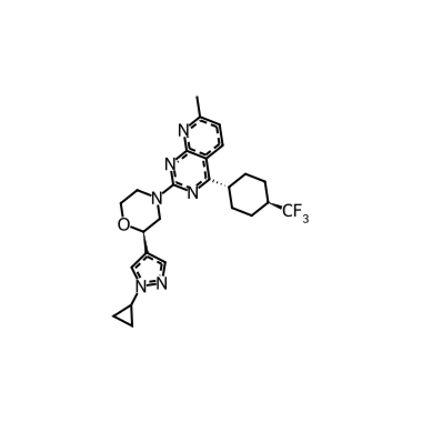 Cc1ccc2c(n1)nc(N1CCO[C@H](c3cnn(C4CC4)c3)C1)nc2[C@H]1CC[C@H](C(F)(F)F)CC1